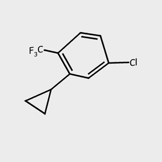 FC(F)(F)c1ccc(Cl)cc1C1CC1